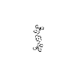 c1ccc(N(c2ccccc2)c2ccc(-c3ccc4ccc5c(-c6ccc(N(c7ccccc7)c7ccccc7)c7ccccc67)ccc6ccc3c4c65)c3ccccc23)cc1